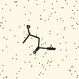 CCC(C)CC(=O)[N]C